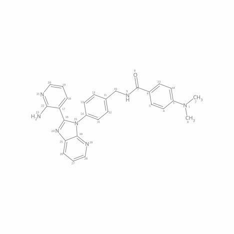 CN(C)c1ccc(C(=O)NCc2ccc(-n3c(-c4cccnc4N)nc4cccnc43)cc2)cc1